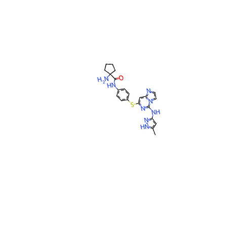 Cc1cc(Nc2nc(Sc3ccc(NC(=O)C4(N)CCCC4)cc3)cc3nccn23)n[nH]1